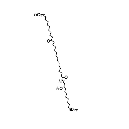 CCCCCCCCC=CCCCCCCCC(=O)CCCCCCCCCCCCCCC(=O)NC[C@@H](O)CCCCCCCCCCCCCCCCCC